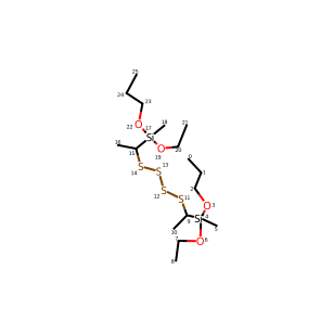 CCCO[Si](C)(OCC)C(C)SSSSC(C)[Si](C)(OCC)OCCC